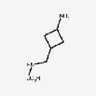 NC1CC(CNC(=O)O)C1